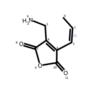 C/C=C\C1=C(CN)C(=O)OC1=O